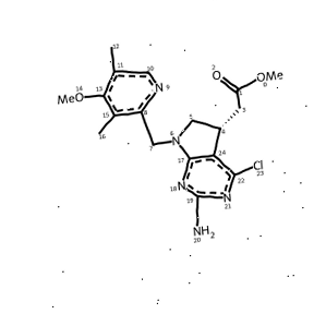 COC(=O)C[C@H]1CN(Cc2ncc(C)c(OC)c2C)c2nc(N)nc(Cl)c21